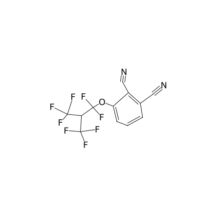 N#Cc1cccc(OC(F)(F)C(C(F)(F)F)C(F)(F)F)c1C#N